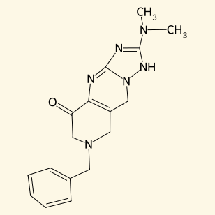 CN(C)C1=NC2=NC3=C(CN(Cc4ccccc4)CC3=O)CN2N1